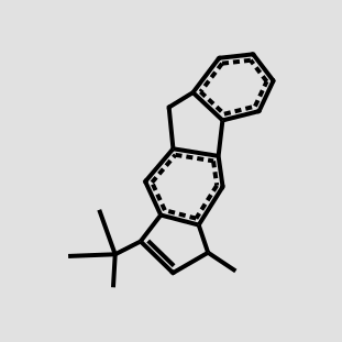 CC1C=C(C(C)(C)C)c2cc3c(cc21)-c1ccccc1C3